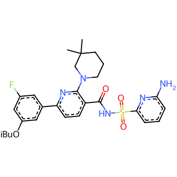 CC(C)COc1cc(F)cc(-c2ccc(C(=O)NS(=O)(=O)c3cccc(N)n3)c(N3CCCC(C)(C)C3)n2)c1